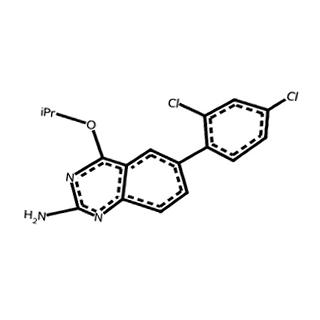 CC(C)Oc1nc(N)nc2ccc(-c3ccc(Cl)cc3Cl)cc12